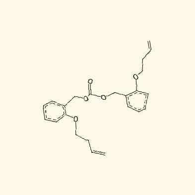 C=CCCOc1ccccc1COC(=O)OCc1ccccc1OCCC=C